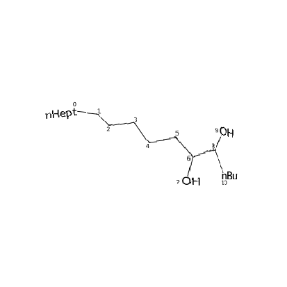 CCCCCCCCCCCCC(O)C(O)CCCC